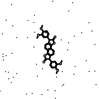 COc1ccc(C2C(=O)Oc3c2ccc2c4c(ccc32)C(c2ccc(OC)c(OC)c2)C(=O)O4)cc1OC